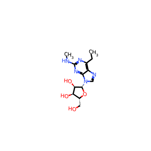 CCc1nc(NC)nc2c1ncn2[C@@H]1O[C@H](CO)[C@@H](O)[C@H]1O